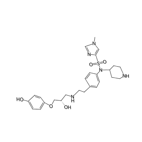 Cn1cnc(S(=O)(=O)N(c2ccc(CCNC[C@H](O)COc3ccc(O)cc3)cc2)C2CCNCC2)c1